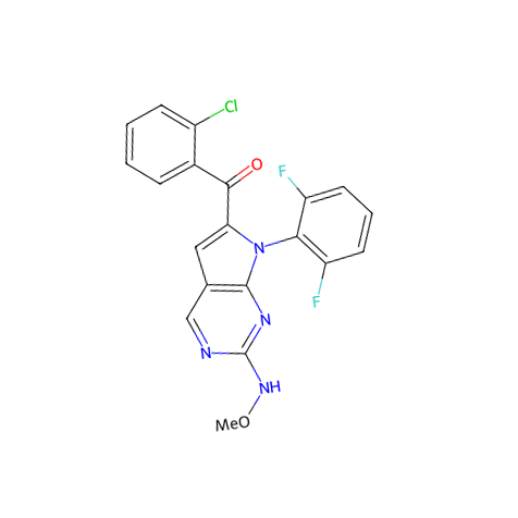 CONc1ncc2cc(C(=O)c3ccccc3Cl)n(-c3c(F)cccc3F)c2n1